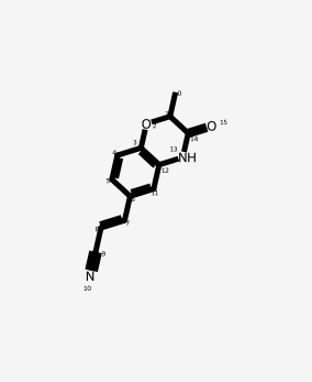 CC1Oc2ccc(C=CC#N)cc2NC1=O